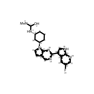 CNC(O)N[C@@H]1CCC[C@@H](n2ccc3cnc(-c4c[nH]c5ncc(F)cc45)nc32)C1